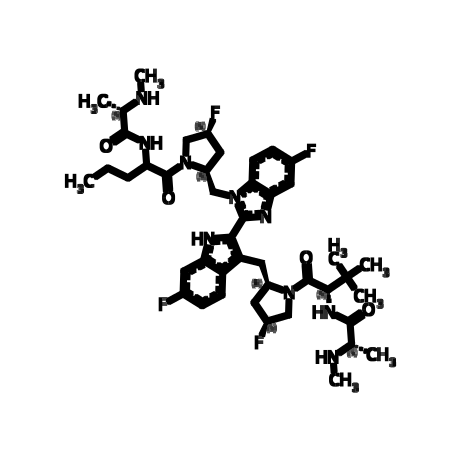 CCCC(NC(=O)[C@H](C)NC)C(=O)N1C[C@@H](F)C[C@H]1Cn1c(-c2[nH]c3cc(F)ccc3c2C[C@@H]2C[C@H](F)CN2C(=O)[C@@H](NC(=O)[C@H](C)NC)C(C)(C)C)nc2cc(F)ccc21